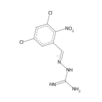 N=C(N)N/N=C/c1cc(Cl)cc(Cl)c1[N+](=O)[O-]